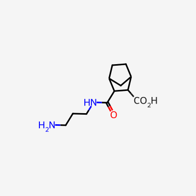 NCCCNC(=O)C1C2CCC(C2)C1C(=O)O